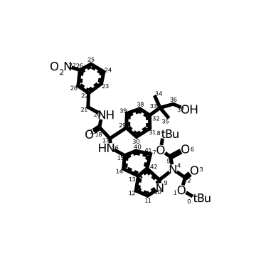 CC(C)(C)OC(=O)N(C(=O)OC(C)(C)C)c1nccc2cc(NC(C(=O)NCc3cccc([N+](=O)[O-])c3)c3ccc(C(C)(C)CO)cc3)ccc12